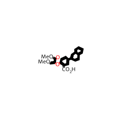 COC=C(Oc1ccc(-c2ccc3ccccc3c2)cc1C(=O)O)C(=O)OC